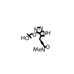 CNC(=O)C#CCc1c[nH]c2ncnc(OCC(C)(C)O)c12